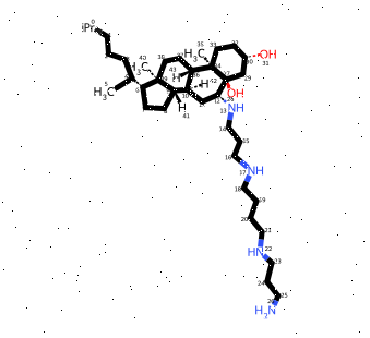 CC(C)CCCC(C)[C@H]1CC[C@H]2[C@@H]3C[C@@H](NCCCNCCCCNCCCN)[C@@]4(O)C[C@@H](O)CC[C@]4(C)[C@H]3CC[C@]12C